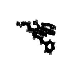 CCC(N(CC=Cc1ccccc1)CCN)[Si](OC)(OC)OC.Cl